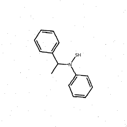 CC(c1ccccc1)N(S)c1ccccc1